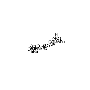 CCCCOC(=O)Nc1cc(NC(=O)Nc2ccc(S(=O)(=O)c3ccc(NC(=O)Nc4ccc(C)c(NC(=O)OCCCC)c4)cc3)cc2)ccc1C